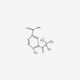 Cc1ccc(C(=O)O)cc1C(=O)C(C)(C)C